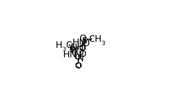 CCCS(=O)(=O)Nc1ccc(Oc2nc(Nc3cc(C)[nH]n3)cc(-c3ccccc3)n2)cc1